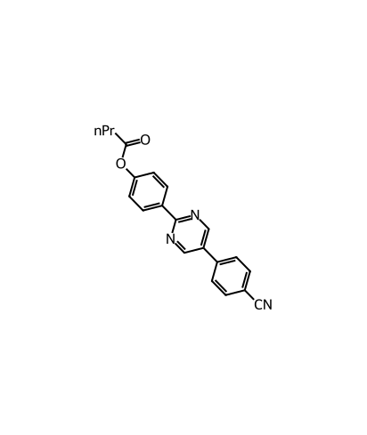 CCCC(=O)Oc1ccc(-c2ncc(-c3ccc(C#N)cc3)cn2)cc1